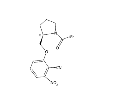 CC(C)C(=O)N1CCC[C@@H]1COc1cccc([N+](=O)[O-])c1C#N